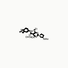 CCOc1nc(N2CC[C@H](NC)C2)ncc1C(=O)Nc1ccc2nn(C)cc2c1.O=CO